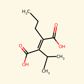 CCCC(C(=O)O)=C(C(=O)O)C(C)C